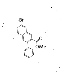 COC(=O)c1cc2cc(Br)ccc2cc1-c1ccccc1